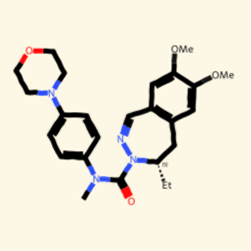 CC[C@H]1Cc2cc(OC)c(OC)cc2C=NN1C(=O)N(C)c1ccc(N2CCOCC2)cc1